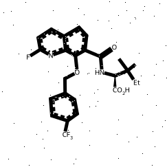 CCC(C)(C)[C@H](NC(=O)c1ccc2ccc(F)nc2c1OCc1ccc(C(F)(F)F)cc1)C(=O)O